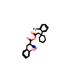 Cc1ccccc1C1(CC(=O)OC(=O)C(C#N)Cc2ccccc2O)CCCCC1